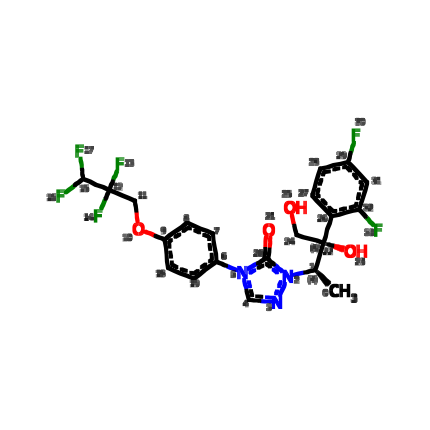 C[C@@H](n1ncn(-c2ccc(OCC(F)(F)C(F)F)cc2)c1=O)[C@](O)(CO)c1ccc(F)cc1F